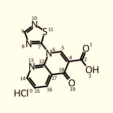 Cl.O=C(O)c1cn(-c2ncns2)c2ncccc2c1=O